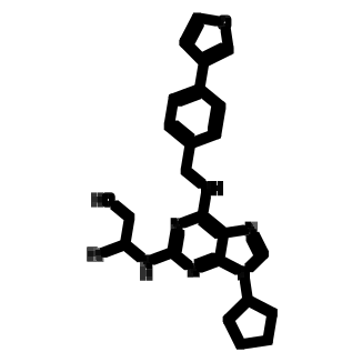 CCC(CO)Nc1nc(NCc2ccc(-c3ccoc3)cc2)c2ncn(C3CCCC3)c2n1